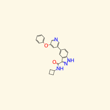 O=C(NC1CCC1)c1n[nH]c2ccc(-c3cncc(Oc4ccccc4)c3)cc12